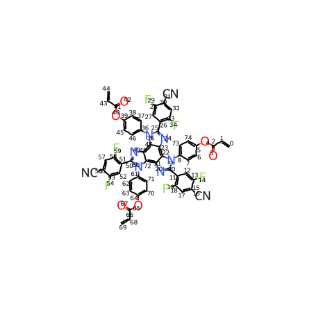 C=CC(=O)Oc1ccc(-n2c(-c3cc(F)c(C#N)cc3F)nc3c2c2nc(-c4cc(F)c(C#N)cc4F)n(-c4ccc(OC(=O)C=C)cc4)c2c2nc(-c4cc(F)c(C#N)cc4F)n(-c4ccc(OC(=O)C=C)cc4)c32)cc1